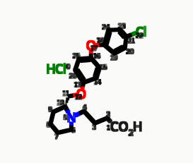 Cl.O=C(O)CCCN1CCCC[C@@H]1COc1ccc(Oc2ccc(Cl)cc2)cc1